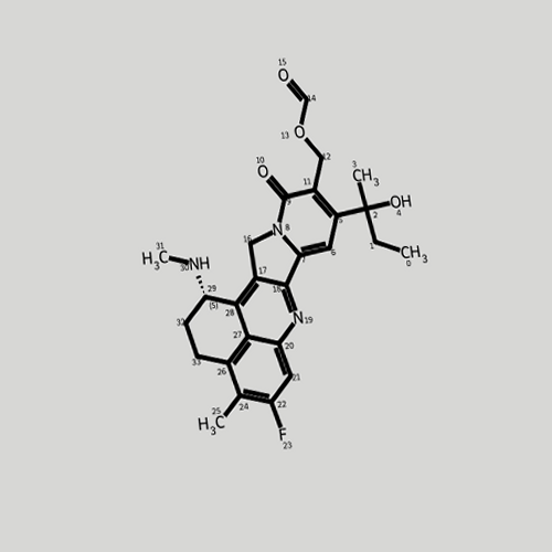 CCC(C)(O)c1cc2n(c(=O)c1COC=O)Cc1c-2nc2cc(F)c(C)c3c2c1[C@@H](NC)CC3